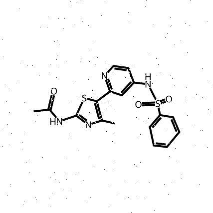 CC(=O)Nc1nc(C)c(-c2cc(NS(=O)(=O)c3ccccc3)ccn2)s1